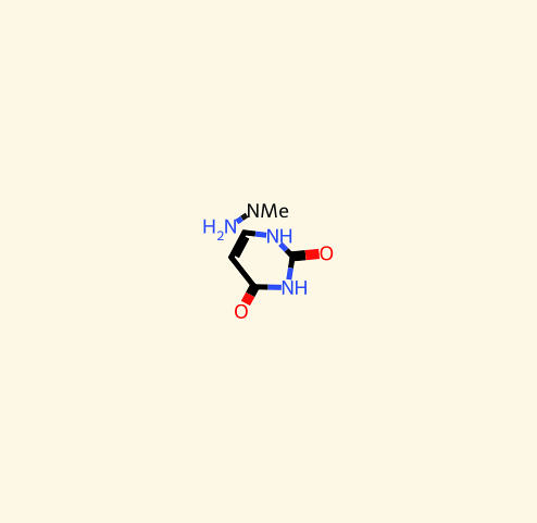 CNN.O=c1cc[nH]c(=O)[nH]1